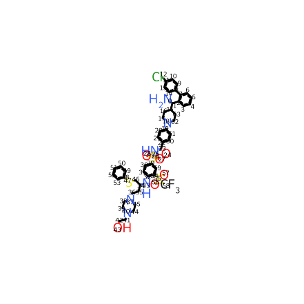 N[C@@H](c1ccccc1-c1ccc(Cl)cc1)C1CCN(c2ccc(C(=O)NS(=O)(=O)c3ccc(NC(CCN4CCN(CCO)CC4)CSc4ccccc4)c(S(=O)(=O)C(F)(F)F)c3)cc2)CC1